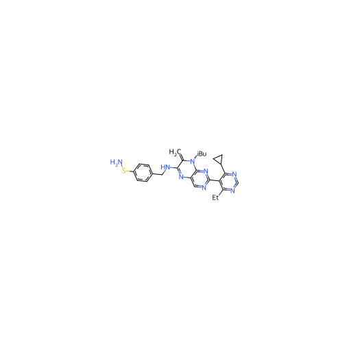 C=C1C(NCc2ccc(SN)cc2)=Nc2cnc(-c3c(CC)ncnc3C3CC3)nc2N1[C@H](C)CC